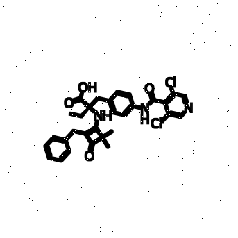 CC[C@@](Cc1ccc(NC(=O)c2c(Cl)cncc2Cl)cc1)(NC1=C(Cc2ccccc2)C(=O)C1(C)C)C(=O)O